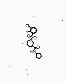 Cc1c(Cl)cccc1S(=O)(=O)N1CCC[C@H](C(=O)NC2CCCC2)C1